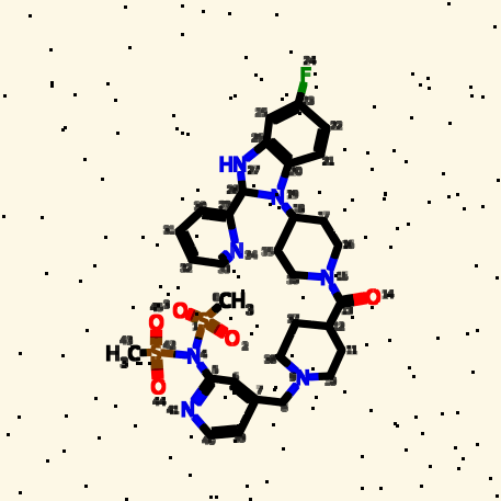 CS(=O)(=O)N(c1cc(CN2CCC(C(=O)N3CCC(N4c5ccc(F)cc5NC4c4ccccn4)CC3)CC2)ccn1)S(C)(=O)=O